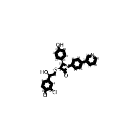 O=C1[C@H](SC[C@H](O)c2ccc(Cl)c(Cl)c2)[C@@H](c2ccc(O)cc2)N1c1ccc(-c2cccnc2)cc1